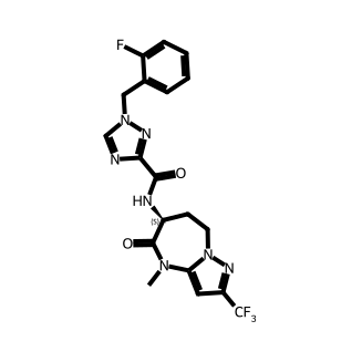 CN1C(=O)[C@@H](NC(=O)c2ncn(Cc3ccccc3F)n2)CCn2nc(C(F)(F)F)cc21